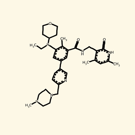 CCN(c1cc(-c2ccc(CN3CCN(C)CC3)nc2)cc(C(=O)NCc2c(C)cc(C)[nH]c2=O)c1C)C1CCOCC1